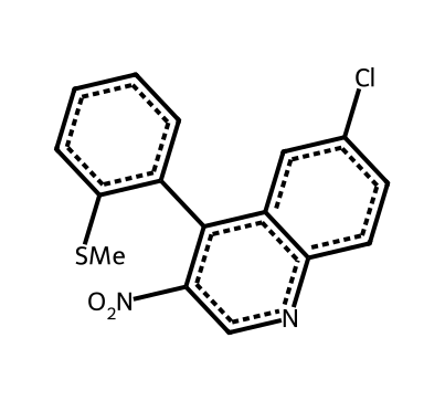 CSc1ccccc1-c1c([N+](=O)[O-])cnc2ccc(Cl)cc12